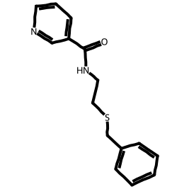 O=C(NCCSCc1ccccc1)c1cccnc1